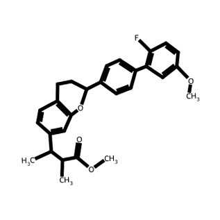 COC(=O)C(C)C(C)c1ccc2c(c1)OC(c1ccc(-c3cc(OC)ccc3F)cc1)CC2